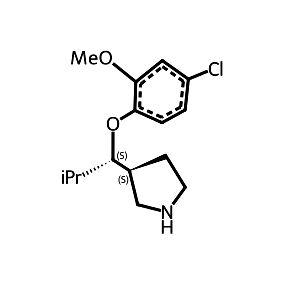 COc1cc(Cl)ccc1O[C@@H](C(C)C)[C@H]1CCNC1